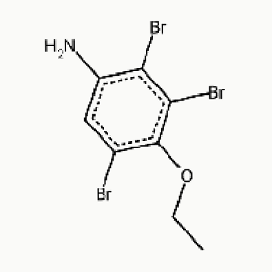 CCOc1c(Br)cc(N)c(Br)c1Br